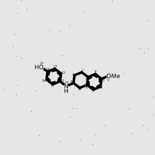 COc1ccc2c(c1)CCC(Nc1ccc(O)cc1)C2